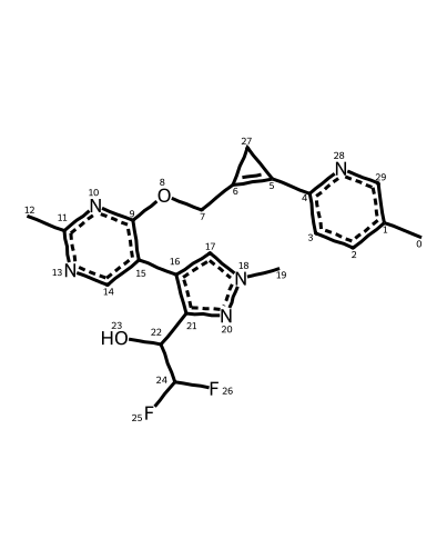 Cc1ccc(C2=C(COc3nc(C)ncc3-c3cn(C)nc3C(O)C(F)F)C2)nc1